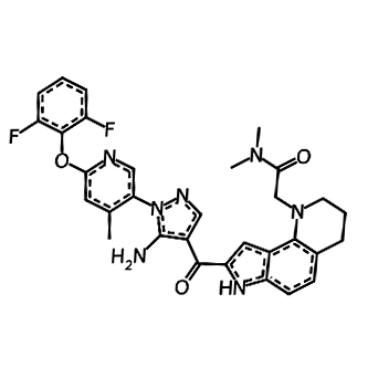 Cc1cc(Oc2c(F)cccc2F)ncc1-n1ncc(C(=O)c2cc3c4c(ccc3[nH]2)CCCN4CC(=O)N(C)C)c1N